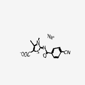 Cc1c(C(=O)[O-])sc(=NC(=O)c2ccc(C#N)cc2)n1C.[Na+]